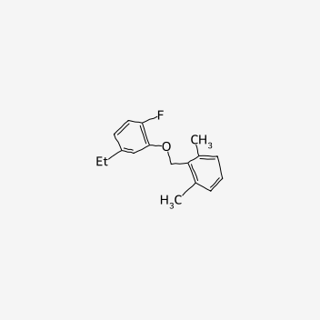 CCc1ccc(F)c(OCc2c(C)cccc2C)c1